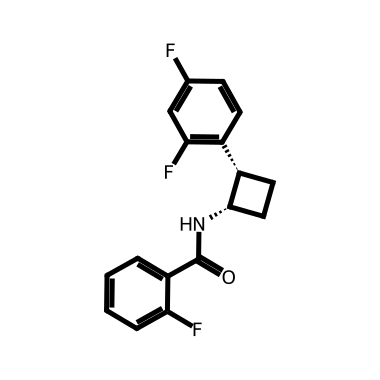 O=C(N[C@H]1CC[C@H]1c1ccc(F)cc1F)c1ccccc1F